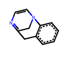 C1=CN2CC(=N1)Cc1ccccc12